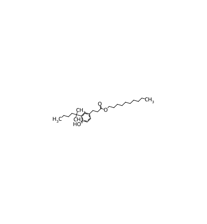 CCCCCCCCCCOC(=O)CCc1ccc(O)c(C(C)(C)CCCC)c1